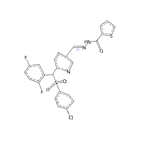 O=C(N/N=C/c1ccc(C(c2cc(F)ccc2F)S(=O)(=O)c2ccc(Cl)cc2)nc1)c1cccs1